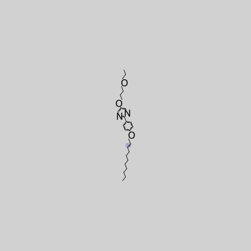 CCCCCCCC/C=C/COc1ccc(-c2ncc(OCCCCOCCC)cn2)cc1